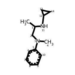 CC(CN(C)c1ccccc1)NC1CC1